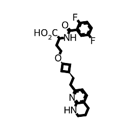 O=C(NC(CCO[C@H]1C[C@H](CCc2ccc3c(n2)NCCC3)C1)C(=O)O)c1cc(F)ccc1F